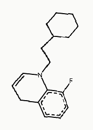 Fc1cccc2c1N(CCC1CCCCC1)C=CC2